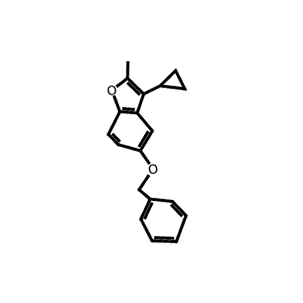 Cc1oc2ccc(OCc3ccccc3)cc2c1C1CC1